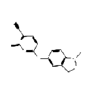 C=C/N=C(\C=C/C(=C)C#N)Oc1ccc2c(c1)COB2C